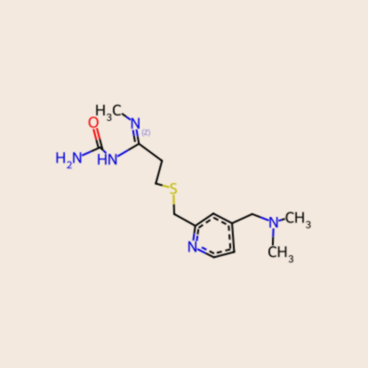 C/N=C(/CCSCc1cc(CN(C)C)ccn1)NC(N)=O